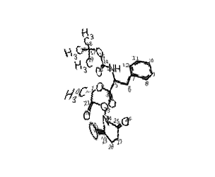 C[C@H](OC(=O)C(Cc1ccccc1)NC(=O)OC(C)(C)C)C(=O)ON1C(=O)CCC1=O